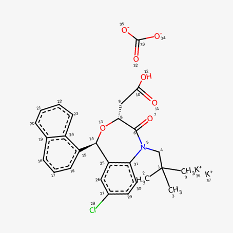 CC(C)(C)CN1C(=O)[C@@H](CC(=O)O)O[C@H](c2cccc3ccccc23)c2cc(Cl)ccc21.O=C([O-])[O-].[K+].[K+]